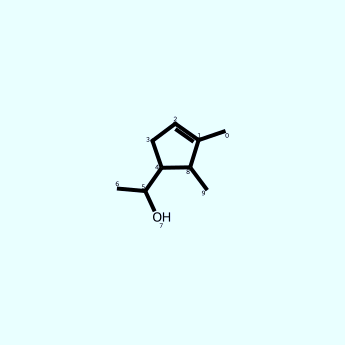 CC1=CCC(C(C)O)C1C